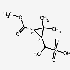 COC(=O)[C@H]1[C@H](C(O)S(=O)(=O)O)C1(C)C